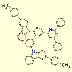 Cc1ccc(-c2ccc3c(c2)c2ccccc2n3-c2cccc(-c3cc(-c4cc(-c5ccccc5)nc(-c5ccccc5)n4)ccc3-n3c4ccccc4c4cc(-c5ccc(C)cc5)ccc43)c2)cc1